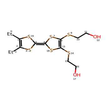 CCC1=C(CC)SC(=C2SC(SCCO)=C(SCCO)S2)S1